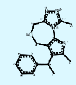 Cc1sc2c(c1C(C)c1ccccc1)COCc1nnc(C)n1-2